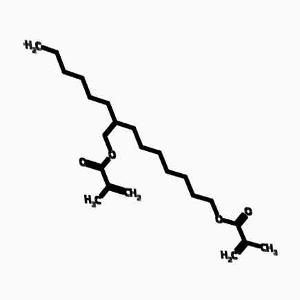 [CH2]CCCCCC(CCCCCCCOC(=O)C(=C)C)COC(=O)C(=C)C